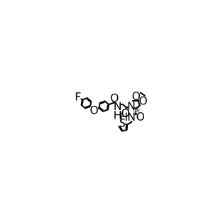 O=C(NCC(=O)N1CC2(C[C@H]1C(=O)NCc1cccs1)OCCO2)c1ccc(Oc2ccc(F)cc2)cc1